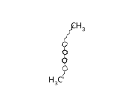 CCCCCCCCC1CC=C(c2ccc(-c3ccc(C4CCC(CCCC)CC4)cc3)cc2)CC1